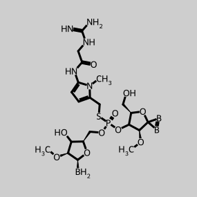 B[C@@H]1O[C@H](COP(=O)(OC2[C@@H](CO)OC3(B=B3)[C@H]2OC)SCc2ccc(NC(=O)CNC(=N)N)n2C)C(O)[C@@H]1OC